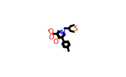 COC(=O)c1cn(CC2CCSCC2)cc(-c2ccc(C)cc2)c1=O